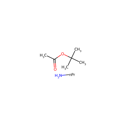 CC(=O)OC(C)(C)C.CCCN